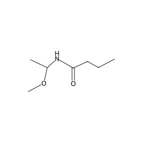 CCCC(=O)NC(C)OC